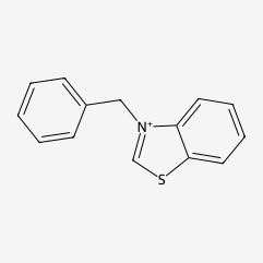 c1ccc(C[n+]2csc3ccccc32)cc1